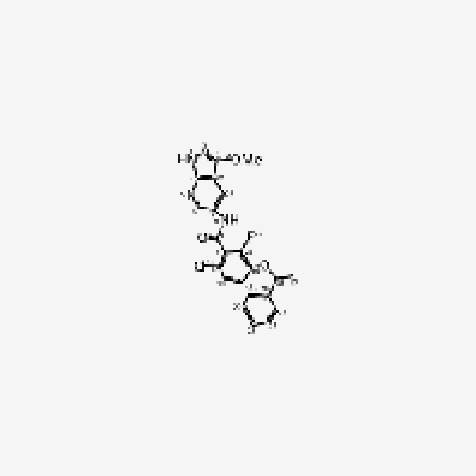 COc1n[nH]c2ncc(NC(=O)c3c(Cl)ccc(OC(C)c4ccccc4)c3F)cc12